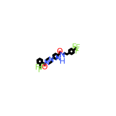 O=C(NCCc1ccc(C(F)(F)F)cc1)c1ccc(N2CCN(C(=O)c3ccccc3C(F)(F)F)CC2)cn1